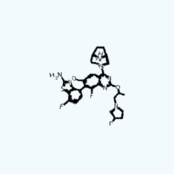 CC(CN1CCC(F)C1)Oc1nc(N2CC3CCC(C2)N3)c2cc(Cl)c(-c3ccc(F)c4sc(N)nc34)c(F)c2n1